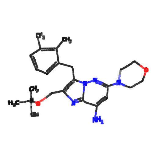 Cc1c(Cc2c(CO[Si](C)(C)C(C)(C)C)nc3c(N)cc(N4CCOCC4)nn23)cccc1C(F)(F)F